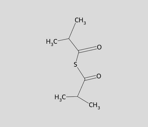 CC(C)C(=O)SC(=O)C(C)C